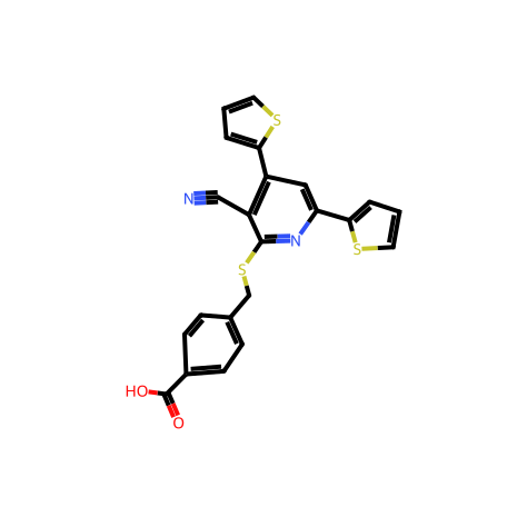 N#Cc1c(-c2cccs2)cc(-c2cccs2)nc1SCc1ccc(C(=O)O)cc1